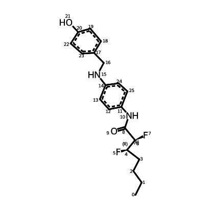 CCCC[C@@H](F)[C@H](F)C(=O)Nc1ccc(NCc2ccc(O)cc2)cc1